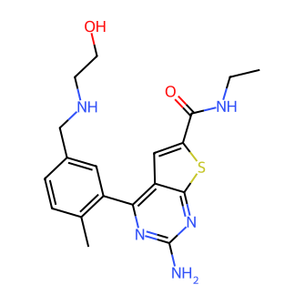 CCNC(=O)c1cc2c(-c3cc(CNCCO)ccc3C)nc(N)nc2s1